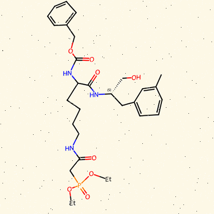 CCOP(=O)(CC(=O)NCCCCC(NC(=O)OCc1ccccc1)C(=O)N[C@H](CO)Cc1cccc(C)c1)OCC